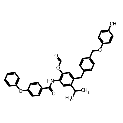 Cc1ccc(OCc2ccc(Cc3cc(OC=O)c(NC(=O)c4ccc(Oc5ccccc5)cc4)cc3C(C)C)cc2)cc1